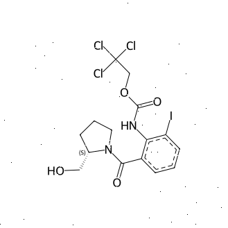 O=C(Nc1c(I)cccc1C(=O)N1CCC[C@H]1CO)OCC(Cl)(Cl)Cl